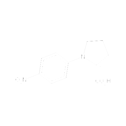 O=C(O)[C@H]1CCCN1c1ccc([N+](=O)[O-])cc1